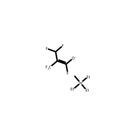 CC[N+](C)(CC)CC.[O-]C(F)=C(C(F)F)C(F)(F)F